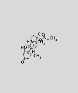 CCC(=O)OC1(C)CC[C@H]2[C@@H]3CCC4=CC(=O)CC(C)[C@]4(CO)[C@@H]3CC[C@@]21C